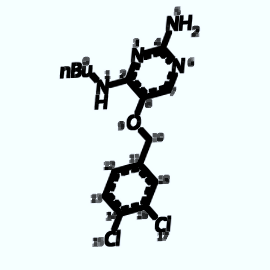 CCCCNc1nc(N)ncc1OCc1ccc(Cl)c(Cl)c1